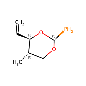 C=C[C@H]1O[C@@H](P)OC[C@@H]1C